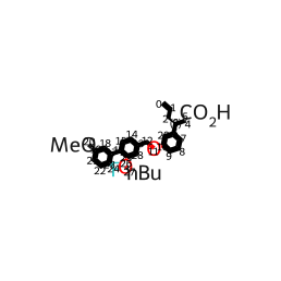 C=CC[C@@H](CC(=O)O)c1cccc(OCc2ccc(-c3cc(OC)ccc3F)c(OCCCC)c2)c1